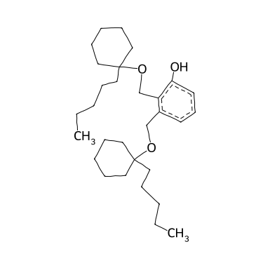 CCCCCC1(OCc2cccc(O)c2COC2(CCCCC)CCCCC2)CCCCC1